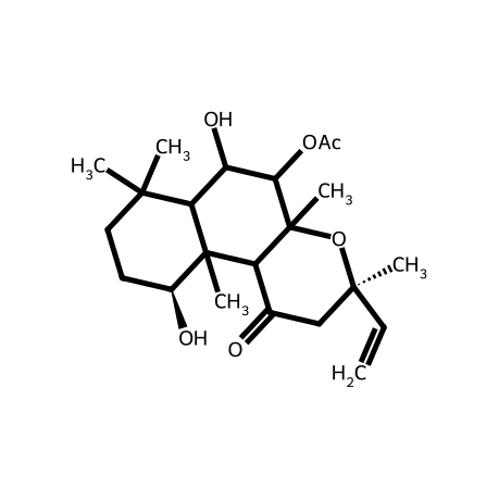 C=C[C@@]1(C)CC(=O)C2C(C)(O1)C(OC(C)=O)C(O)C1C(C)(C)CC[C@H](O)C12C